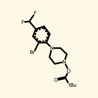 CC(C)(C)C(=O)ON1CCN(c2ccc(C(F)F)cc2Br)CC1